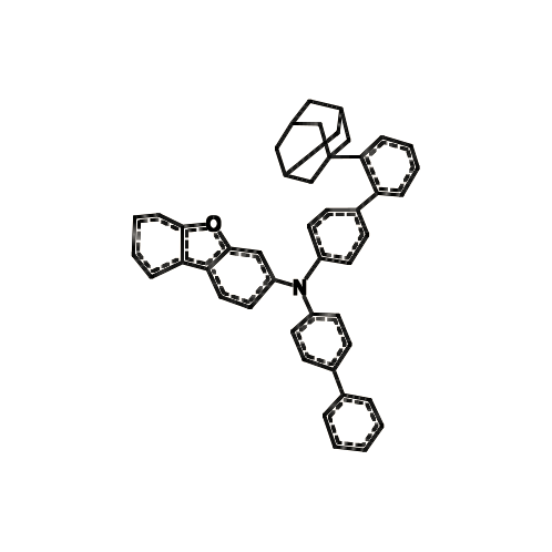 c1ccc(-c2ccc(N(c3ccc(-c4ccccc4C45CC6CC(CC(C6)C4)C5)cc3)c3ccc4c(c3)oc3ccccc34)cc2)cc1